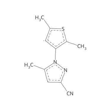 Cc1[c]c(-n2nc(C#N)cc2C)c(C)s1